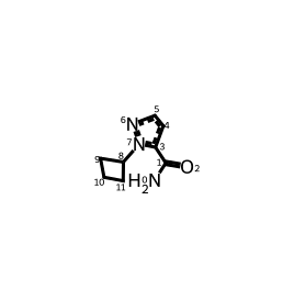 NC(=O)c1ccnn1C1CCC1